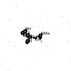 CCc1cccc2cc(O)cc(-c3c(F)cc4c(N5CC6CCC(C5)N6)nc(OCC(C)CN5C6CCC67CC(OC)CC57)nc4c3F)c12